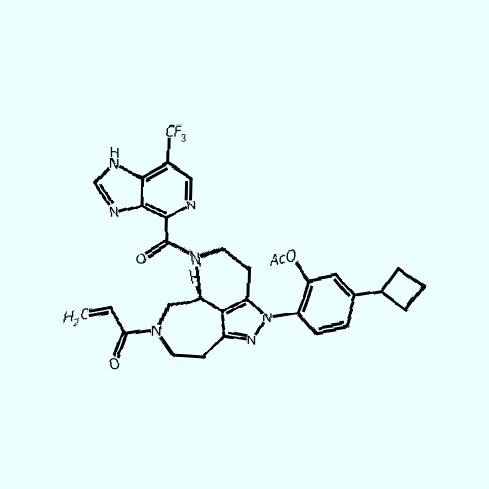 C=CC(=O)N1CCc2nn(-c3ccc(C4CCC4)cc3OC(C)=O)c3c2[C@H](C1)N(C(=O)c1ncc(C(F)(F)F)c2[nH]cnc12)CC3